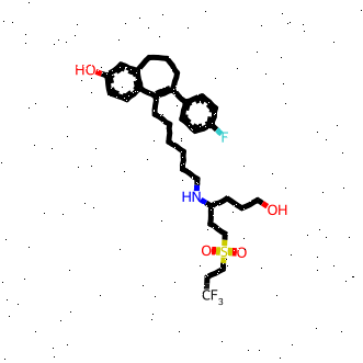 O=S(=O)(CCC(CCCO)NCCCCCCC1=C(c2ccc(F)cc2)CCCc2cc(O)ccc21)CCC(F)(F)F